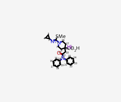 CS/C(=N\C1CC1)N1CCC(CC(=O)N(c2ccccc2)c2ccccc2)(C(=O)O)CC1.I